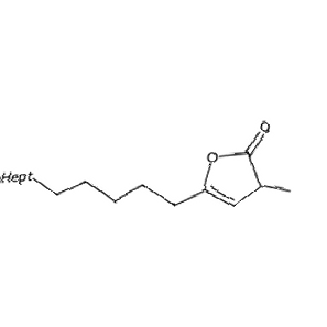 CCCCCCCCCCCCC1=CC(C)C(=O)O1